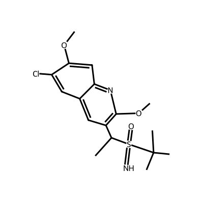 COc1cc2nc(OC)c(C(C)S(=N)(=O)C(C)(C)C)cc2cc1Cl